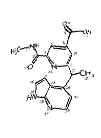 CNC(=O)c1cc(C(=O)O)cc(C(C)c2ccnc3[nH]ccc23)n1